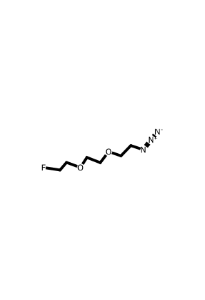 [N-]=[N+]=NCCOCCOCCF